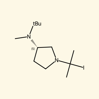 CN([C@H]1CCN(C(C)(C)I)C1)C(C)(C)C